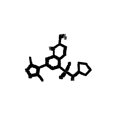 Cc1noc(C)c1-c1cc2c(c(S(=O)(=O)NC3CCCC3)c1)C=CC(N)N2